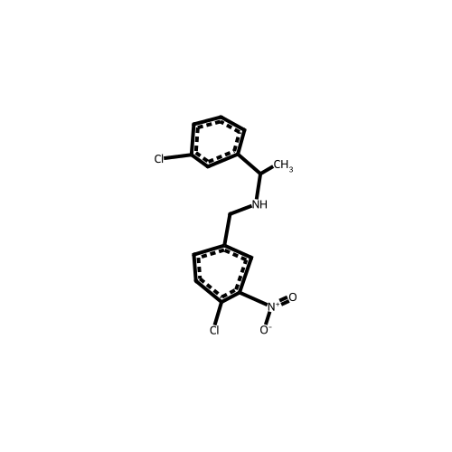 CC(NCc1ccc(Cl)c([N+](=O)[O-])c1)c1cccc(Cl)c1